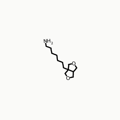 NCCCCCCCC12COCC1COC2